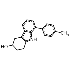 Cc1ccc(-c2cccc3c4c([nH]c23)CCC(O)C4)cc1